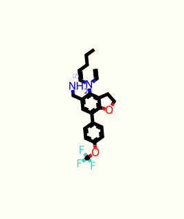 C=CN(/C=C\CCC)c1c(CN)cc(-c2ccc(OC(F)(F)F)cc2)c2c1CCO2